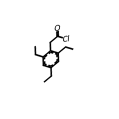 CCc1cc(CC)c(CC(=O)Cl)c(CC)c1